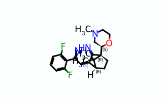 CN1CCO[C@@H]([C@@]23CC[C@@H](/C(=C/C(=N)c4c(F)cccc4F)C2=N)C3(C)C)C1